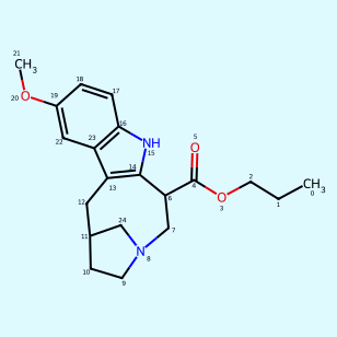 CCCOC(=O)C1CN2CCC(Cc3c1[nH]c1ccc(OC)cc31)C2